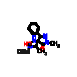 CO/N=C(\C)C1(NO)C(=O)N(C)N=C1c1ccccc1